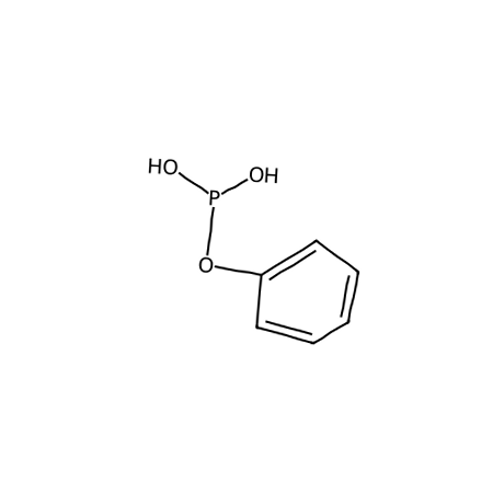 OP(O)Oc1ccccc1